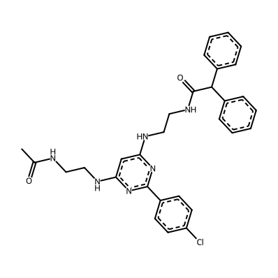 CC(=O)NCCNc1cc(NCCNC(=O)C(c2ccccc2)c2ccccc2)nc(-c2ccc(Cl)cc2)n1